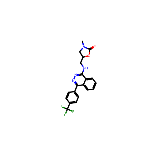 CN1CC(CNc2nnc(-c3ccc(C(F)(F)F)cc3)c3ccccc23)OC1=O